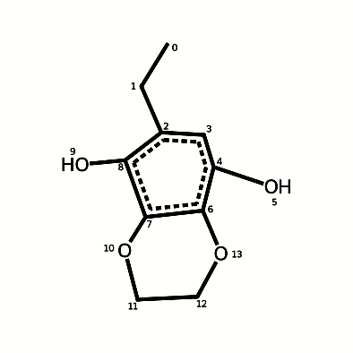 CCc1cc(O)c2c(c1O)OCCO2